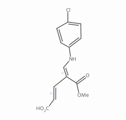 COC(=O)C(=C\Nc1ccc(Cl)cc1)/C=C/C(=O)O